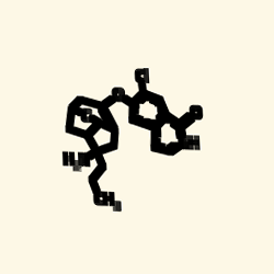 CCCC1(N)CC2=C(Oc3cc4cc[nH]c(=O)c4cc3Cl)CC3CC2C1C3